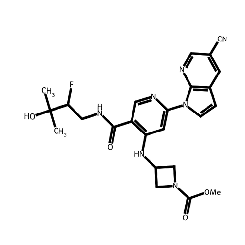 COC(=O)N1CC(Nc2cc(-n3ccc4cc(C#N)cnc43)ncc2C(=O)NCC(F)C(C)(C)O)C1